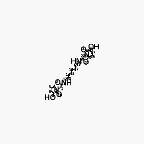 O=C(Cn1cccc(O)c1=O)NCCCCCCCCNC(=O)Cn1cccc(O)c1=O